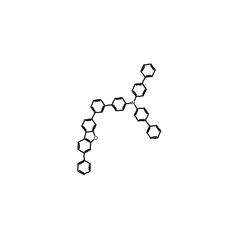 c1ccc(-c2ccc(N(c3ccc(-c4ccccc4)cc3)c3ccc(-c4cccc(-c5ccc6c(c5)oc5cc(-c7ccccc7)ccc56)c4)cc3)cc2)cc1